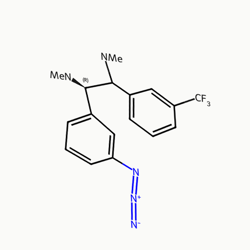 CNC(c1cccc(C(F)(F)F)c1)[C@H](NC)c1cccc(N=[N+]=[N-])c1